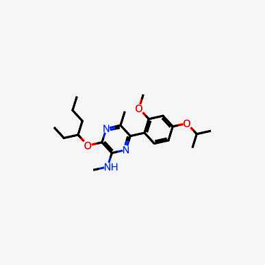 CCCC(CC)Oc1nc(C)c(-c2ccc(OC(C)C)cc2OC)nc1NC